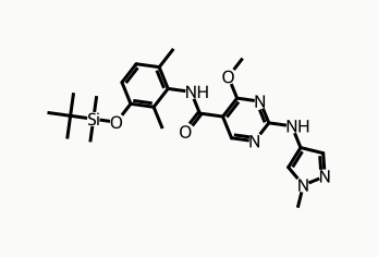 COc1nc(Nc2cnn(C)c2)ncc1C(=O)Nc1c(C)ccc(O[Si](C)(C)C(C)(C)C)c1C